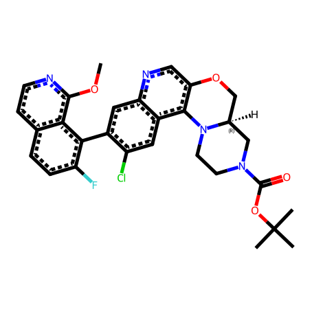 COc1nccc2ccc(F)c(-c3cc4ncc5c(c4cc3Cl)N3CCN(C(=O)OC(C)(C)C)C[C@@H]3CO5)c12